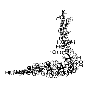 Cl.Cl.N.O=C(O)O.O=C([O-])CC(O)(CC(=O)O)C(=O)[O-].O=C([O-])CC(O)(CC(=O)[O-])C(=O)[O-].O=C([O-])CC(O)(CC(=O)[O-])C(=O)[O-].O=P(O)(O)O.O=P(O)(O)O.O=S(=O)([O-])[O-].O=S(=O)([O-])[O-].O=S(=O)([O-])[O-].[K+].[K+].[K+].[Mg+2].[Mg+2].[Mg+2].[Mg+2].[Na+].[Na+].[Na+]